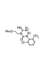 CCN(C(=O)N(CCOC)C(=N)N)c1c(C)cccc1Cl